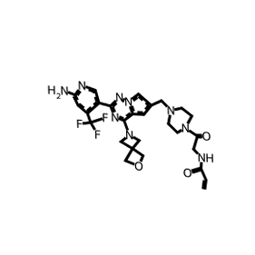 C=CC(=O)NCC(=O)N1CCN(Cc2cc3c(N4CC5(COC5)C4)nc(-c4cnc(N)cc4C(F)(F)F)nn3c2)CC1